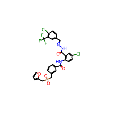 O=C(Nc1ccc(Cl)cc1C(=O)NN=Cc1ccc(Cl)c(C(F)(F)F)c1)c1cccc(CS(=O)(=O)Cc2ccco2)c1